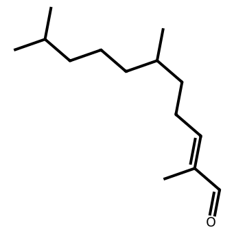 C/C(C=O)=C\CCC(C)CCCC(C)C